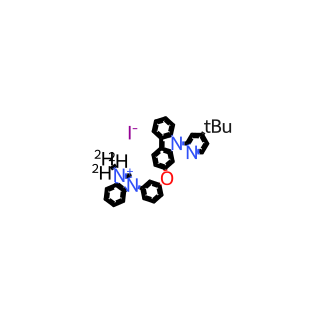 [2H]C([2H])([2H])[n+]1cn(-c2cccc(Oc3ccc4c5ccccc5n(-c5cc(C(C)(C)C)ccn5)c4c3)c2)c2ccccc21.[I-]